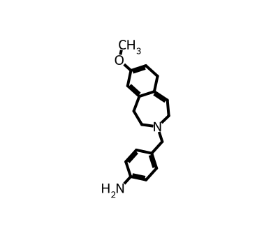 COC1=CCC2=CCN(Cc3ccc(N)cc3)CCC2=C1